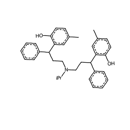 Cc1ccc(O)c(C(CCN(CCC(c2ccccc2)c2cc(C)ccc2O)C(C)C)c2ccccc2)c1